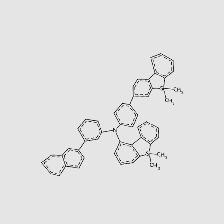 C[Si]1(C)c2ccccc2-c2ccc(-c3ccc(N(c4cccc(-c5ccc6ccccc6c5)c4)c4cccc5c4-c4ccccc4[Si]5(C)C)cc3)cc21